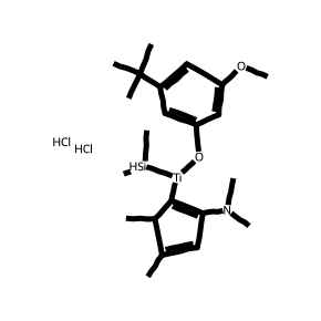 COc1cc([O][Ti]([C]2=C(N(C)C)C=C(C)C2C)[SiH](C)C)cc(C(C)(C)C)c1.Cl.Cl